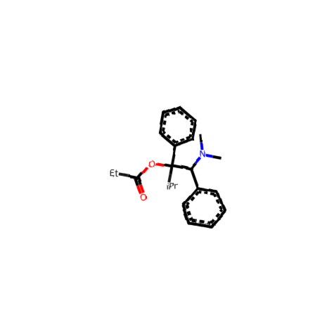 CCC(=O)OC(c1ccccc1)(C(C)C)C(c1ccccc1)N(C)C